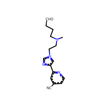 CN(CCCC=O)CCn1cnc(-c2cc(C#N)ccn2)c1